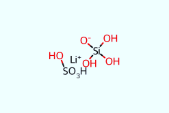 O=S(=O)(O)O.[Li+].[O-][Si](O)(O)O